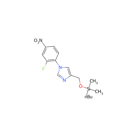 CCCC[Si](C)(C)OCc1cn(-c2ccc([N+](=O)[O-])cc2F)cn1